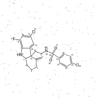 C=C1CCCC2Nc3c(F)cc(Cl)cc3C12CCNS(=O)(=O)c1ccc(Cl)cc1